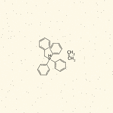 C=C.c1ccc(C[PH](c2ccccc2)(c2ccccc2)c2ccccc2)cc1